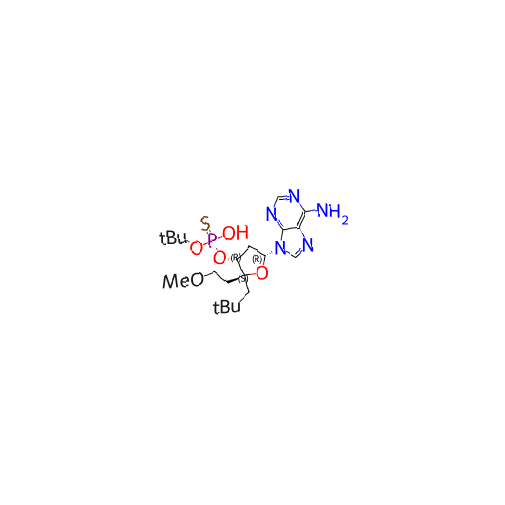 COCC[C@]1(CC(C)(C)C)O[C@@H](n2cnc3c(N)ncnc32)C[C@H]1OP(O)(=S)OC(C)(C)C